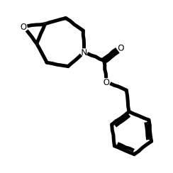 O=C(OCc1ccccc1)N1CCC2OC2CC1